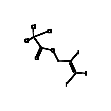 O=C(OCC(I)=C(I)I)C(Cl)(Cl)Cl